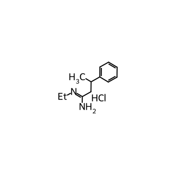 CCN=C(N)CC(C)c1ccccc1.Cl